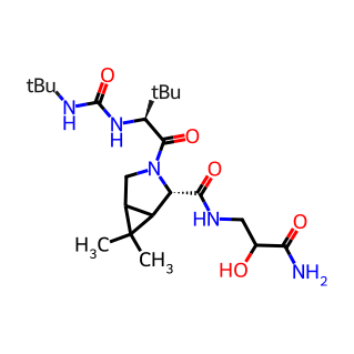 CC(C)(C)NC(=O)N[C@H](C(=O)N1CC2C([C@H]1C(=O)NCC(O)C(N)=O)C2(C)C)C(C)(C)C